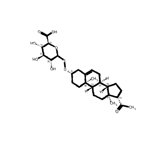 CC(=O)[C@H]1CC[C@H]2[C@@H]3CC=C4C[C@@H](OSC5O[C@H](C(=O)O)[C@@H](O)[C@H](O)[C@H]5O)CC[C@]4(C)[C@H]3CC[C@]12C